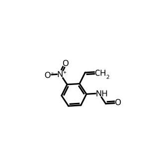 C=Cc1c(NC=O)cccc1[N+](=O)[O-]